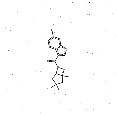 CC1(C)CC2N(C(=O)c3c[nH]c4cc(F)ccc34)CC2(C)C1